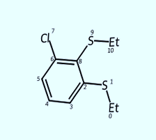 CCSc1cccc(Cl)c1SCC